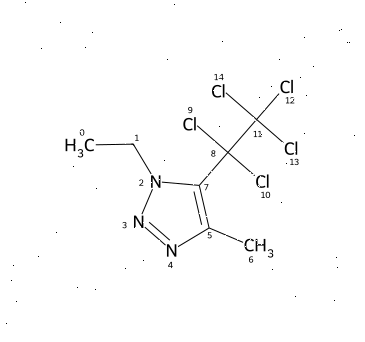 CCn1nnc(C)c1C(Cl)(Cl)C(Cl)(Cl)Cl